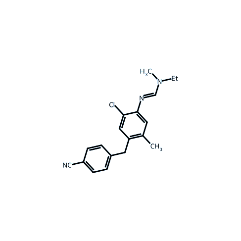 CCN(C)C=Nc1cc(C)c(Cc2ccc(C#N)cc2)cc1Cl